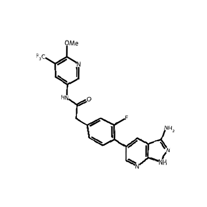 COc1ncc(NC(=O)Cc2ccc(-c3cnc4[nH]nc(N)c4c3)c(F)c2)cc1C(F)(F)F